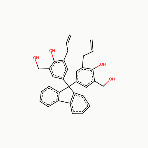 C=CCc1cc(C2(c3cc(CO)c(O)c(CC=C)c3)c3ccccc3-c3ccccc32)cc(CO)c1O